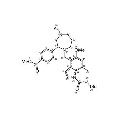 COC(=O)c1ccc(C2CN(C(C)=O)CCCN2Cc2c(OC)cc(C)c3c2ccn3C(=O)OC(C)(C)C)cc1